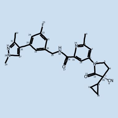 Cc1cc(N2CC[C@@](C#N)(C3CC3)C2=O)cc(C(=O)NCc2cc(F)cc(-c3cn(C)nc3C)c2)n1